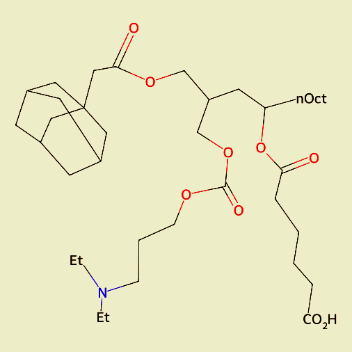 CCCCCCCCC(CC(COC(=O)CC12CC3CC(CC(C3)C1)C2)COC(=O)OCCCN(CC)CC)OC(=O)CCCCC(=O)O